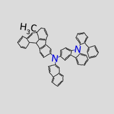 C[C@]12C=C3C=CC=CC3C3C1=C(C=CC2)c1cc(N(c2ccc4ccccc4c2)c2ccc4c(c2)c2ccccc2n4-c2ccccc2-c2ccccc2)ccc13